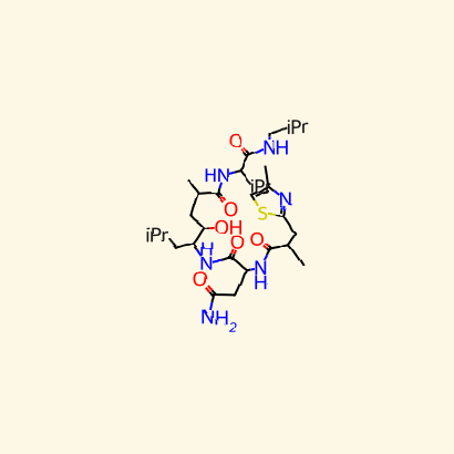 Cc1csc(CC(C)C(=O)NC(CC(N)=O)C(=O)NC(CC(C)C)C(O)CC(C)C(=O)NC(C(=O)NCC(C)C)C(C)C)n1